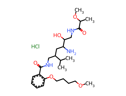 COCCCCOc1ccccc1C(=O)NCC(CC(N)C(O)CNC(=O)C(C)OC)C(C)C.Cl